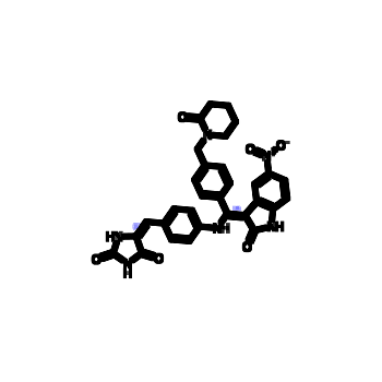 O=C1NC(=O)/C(=C\c2ccc(N/C(=C3\C(=O)Nc4ccc([N+](=O)[O-])cc43)c3ccc(CN4CCCCC4=O)cc3)cc2)N1